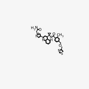 Cc1cc(COCc2cscn2)ccc1C(=O)NC1(c2cc(-c3cnn(CC(N)=O)c3)nc3ccccc23)CC1